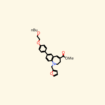 CCCCOCCOc1ccc(-c2ccc3c(c2)C=C(C(=O)OC)CCN3Cc2ccco2)cc1